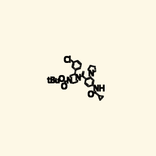 C=C(c1ccc(NC(=O)C2CC2)cc1N1CCCC1)N1CCN(C(=O)OC(C)(C)C)CC1c1cccc(Cl)c1